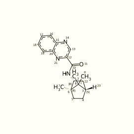 CC1(C)[C@H]2CC[C@@]1(C)[C@H](NC(=O)c1cnc3ccccc3n1)C2